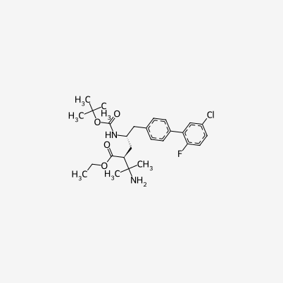 CCOC(=O)[C@@H](C[C@@H](Cc1ccc(-c2cc(Cl)ccc2F)cc1)NC(=O)OC(C)(C)C)C(C)(C)N